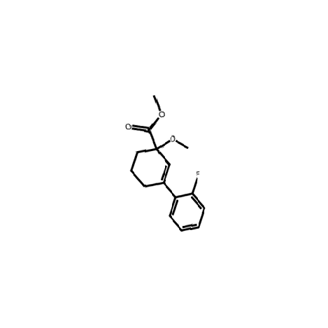 COC(=O)C1(OC)C=C(c2ccccc2F)CCC1